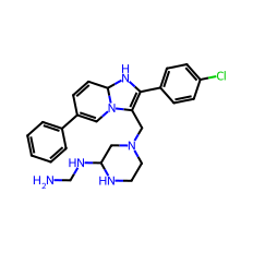 NCNC1CN(CC2=C(c3ccc(Cl)cc3)NC3C=CC(c4ccccc4)=CN23)CCN1